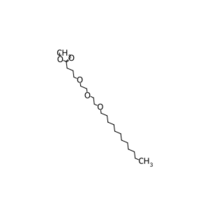 CCCCCCCCCCCCOCCOCCOCCCC(=O)OC